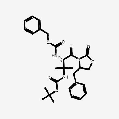 CC(C)(C)OC(=O)NC(C)(C)[C@H](NC(=O)OCc1ccccc1)C(=O)N1C(=O)OCC1Cc1ccccc1